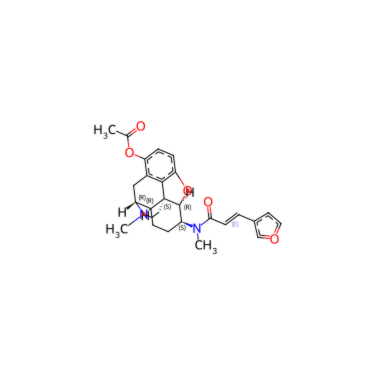 CC(=O)Oc1ccc2c3c1C[C@@H]1[C@@H]4CC[C@H](N(C)C(=O)/C=C/c5ccoc5)[C@H](O2)[C@]34CCN1C